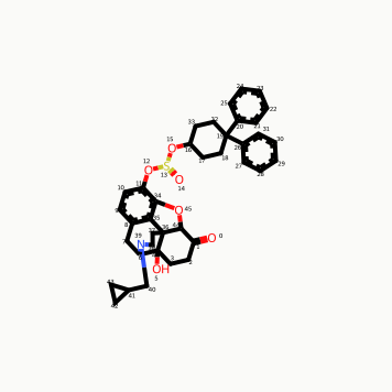 O=C1CCC2(O)C3Cc4ccc(OS(=O)OC5CCC(c6ccccc6)(c6ccccc6)CC5)c5c4C2(CCN3CC2CC2)C1O5